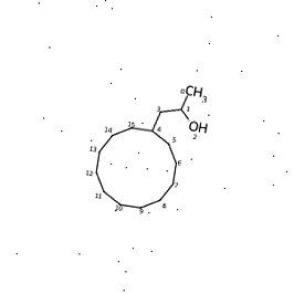 CC(O)CC1CCCCCCCCCCC1